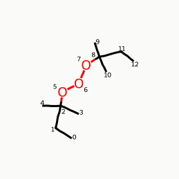 CCC(C)(C)OOOC(C)(C)CC